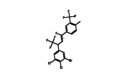 Cc1ccc(/C(F)=C/C(c2cc(Cl)c(Cl)c(Br)c2)C(F)(F)F)cc1C(F)(F)F